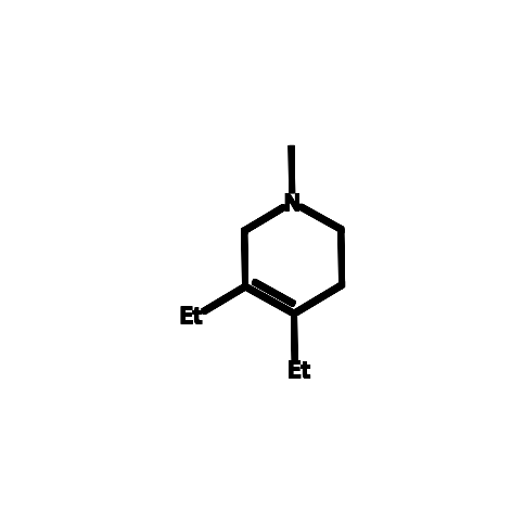 CCC1=C(CC)CN(C)CC1